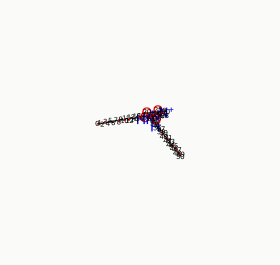 CCCCCC=CCC=CCCCCCCCCOC(=O)C(CNC(=O)C[N+](C)(C)C)NC(=O)CCCCCCCC=CCC=CCCCCC